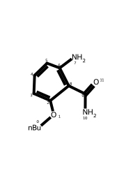 CCCCOc1cccc(N)c1C(N)=O